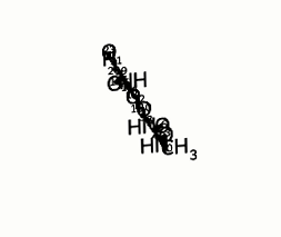 CNC(=O)CC(=O)NCCOCCOCCNC(=O)CCCN=O